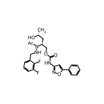 [CH2][C@@H](O)C[C@@H](COC(=O)Nc1cc(-c2ccccc2)on1)N(NCc1cccc(F)c1F)C(C)=O